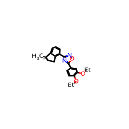 CCOc1ccc(-c2nc(-c3cccc4c3CC[C@H]4C)no2)cc1OCC